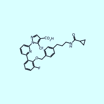 O=C(O)c1cnn(-c2cccc(-c3cccc(F)c3OCc3ccc(CCCNC(=O)C4CC4)cc3)n2)c1C(F)(F)F